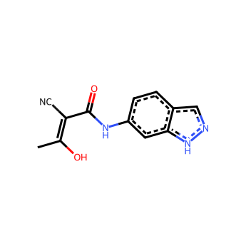 CC(O)=C(C#N)C(=O)Nc1ccc2cn[nH]c2c1